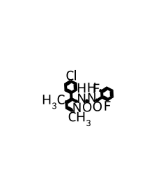 Cc1cc(C)c(-c2ccc(Cl)cc2)c(NC(=O)NC(=O)c2c(F)cccc2F)n1